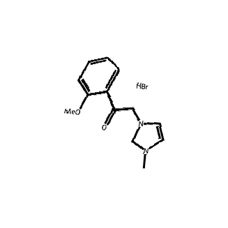 Br.COc1ccccc1C(=O)CN1C=CN(C)C1